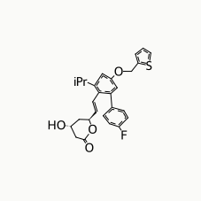 CC(C)c1cc(OCc2cccs2)cc(-c2ccc(F)cc2)c1/C=C/[C@@H]1C[C@@H](O)CC(=O)O1